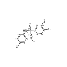 COc1cc(Cl)nnc1NS(=O)(=O)c1ccc(F)c(Cl)c1